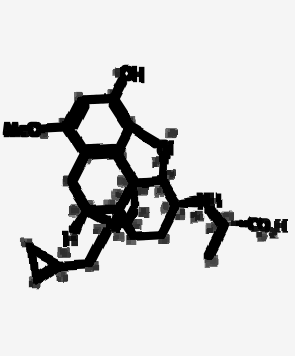 COc1cc(O)c2c3c1C[C@@H]1[C@@H]4CC[C@H](N[C@@H](C)C(=O)O)[C@H](O2)[C@]34CCN1CC1CC1